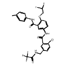 Cc1ccc(NC(=O)c2cc(NC(=O)c3cc(CNC(=O)C(F)(F)F)ccc3Cl)ccc2OCC(F)F)cc1